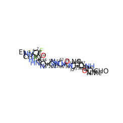 CCN(C)SNc1ccc(F)c(C(=O)c2c[nH]c3ncc(-c4cnc(N5CCN(C(=O)CN6CCC(c7ccc(NC(CCC=O)C(=O)NC)cc7C#N)CC6)CC5)nc4)cc23)c1F